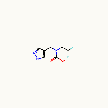 O=C(O)N(Cc1cn[nH]c1)CC(F)F